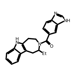 CCC1Cc2c([nH]c3ccccc23)CCN1C(=O)c1ccc2nc[nH]c2c1